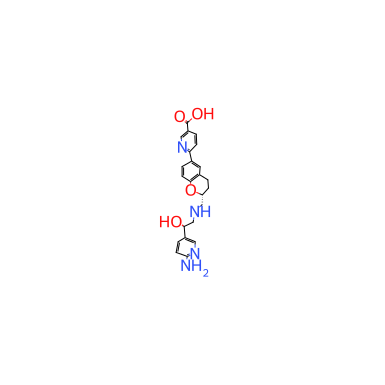 Nc1ccc([C@@H](O)CNC[C@H]2CCc3cc(-c4ccc(C(=O)O)cn4)ccc3O2)cn1